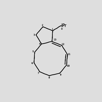 CC(C)C1CCC2CCCCCC=CC=C21